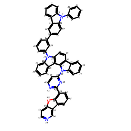 c1ccc(-n2c3ccccc3c3cc(-c4cccc(-n5c6ccccc6c6c5ccc5c7ccccc7n(-c7ccnc(-c8cccc9c8oc8ccncc89)n7)c56)c4)ccc32)cc1